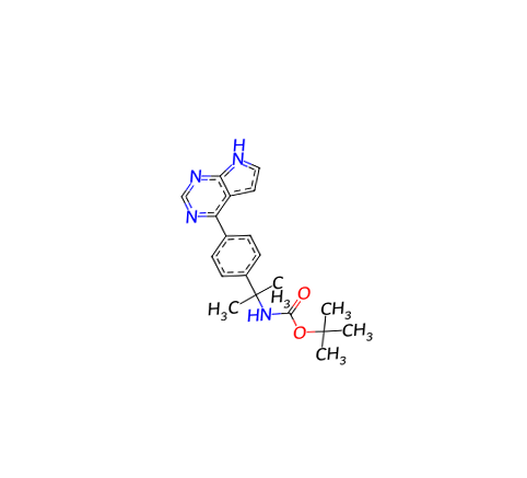 CC(C)(C)OC(=O)NC(C)(C)c1ccc(-c2ncnc3[nH]ccc23)cc1